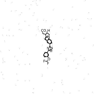 O=C(O)CC1CCn2c1cc1cc(-c3noc(-c4cccc(OC(F)F)c4)n3)ccc12